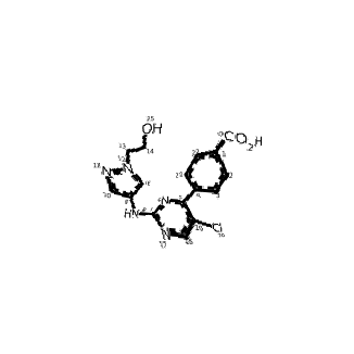 O=C(O)c1ccc(-c2nc(Nc3cnn(CCO)c3)ncc2Cl)cc1